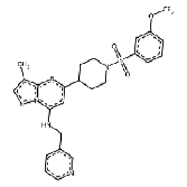 Bc1cnn2c(NCc3cccnc3)cc(C3CCN(S(=O)(=O)c4cccc(OC(F)(F)F)c4)CC3)nc12